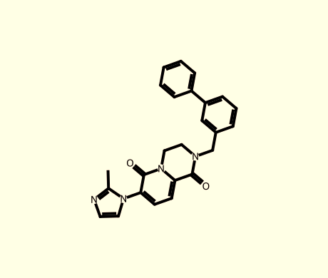 Cc1nccn1-c1ccc2n(c1=O)CCN(Cc1cccc(-c3ccccc3)c1)C2=O